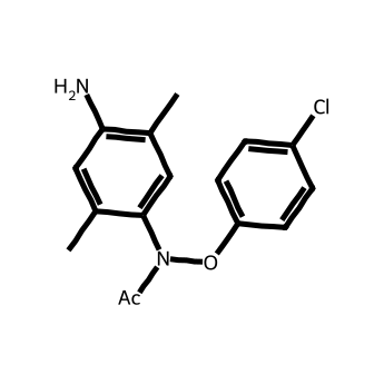 CC(=O)N(Oc1ccc(Cl)cc1)c1cc(C)c(N)cc1C